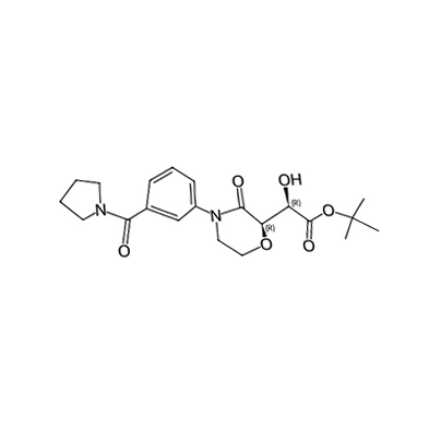 CC(C)(C)OC(=O)[C@H](O)[C@H]1OCCN(c2cccc(C(=O)N3CCCC3)c2)C1=O